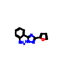 Nc1ccccc1-c1nc(-c2ccco2)n[nH]1